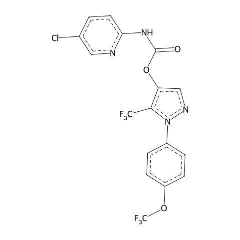 O=C(Nc1ccc(Cl)cn1)Oc1cnn(-c2ccc(OC(F)(F)F)cc2)c1C(F)(F)F